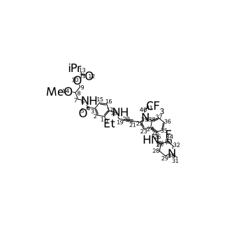 CCc1cc(C(=O)NCC(COC(=O)C(C)C)OC)ccc1NCC#Cc1cc2c(N[C@@H]3CCN(C)C[C@@H]3F)cccc2n1CC(F)(F)F